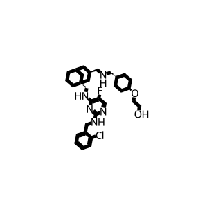 OCCO[C@H]1CC[C@H](CNC[C@@H]2CC3CCC[C@@](CNc4nc(NCc5ccccc5Cl)ncc4F)(C3)C2)CC1